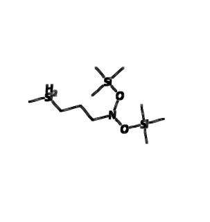 C[SiH2]CCCN(O[Si](C)(C)C)O[Si](C)(C)C